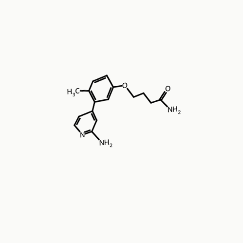 Cc1ccc(OCCCC(N)=O)cc1-c1ccnc(N)c1